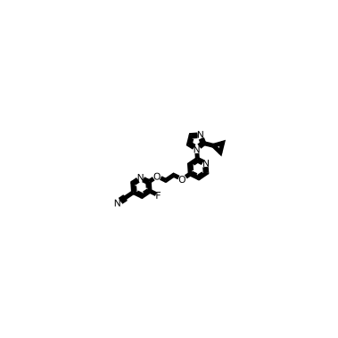 N#Cc1cnc(OCCOc2ccnc(-n3ccnc3C3CC3)c2)c(F)c1